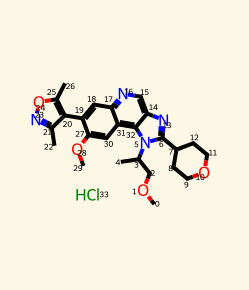 COCC(C)n1c(C2CCOCC2)nc2cnc3cc(-c4c(C)noc4C)c(OC)cc3c21.Cl